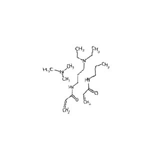 C=CC(=O)NCCC.C=CC(=O)NCCCN(CC)CC.CN(C)C